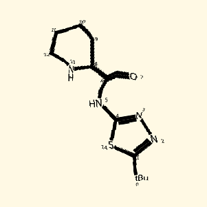 CC(C)(C)c1nnc(NC(=O)C2CCCCN2)s1